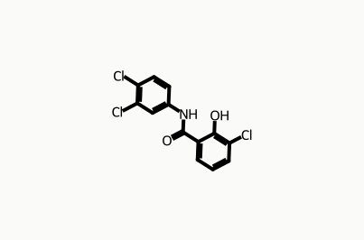 O=C(Nc1ccc(Cl)c(Cl)c1)c1cccc(Cl)c1O